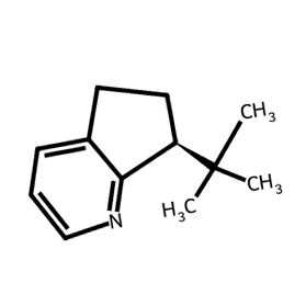 CC(C)(C)[C@@H]1CCc2cccnc21